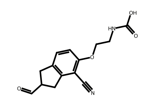 N#Cc1c(OCCNC(=O)O)ccc2c1CC(C=O)C2